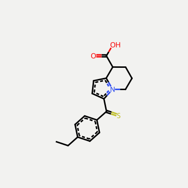 CCc1ccc(C(=S)c2ccc3n2CCCC3C(=O)O)cc1